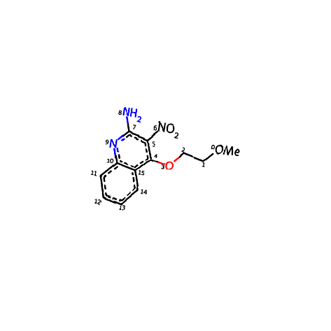 COCCOc1c([N+](=O)[O-])c(N)nc2ccccc12